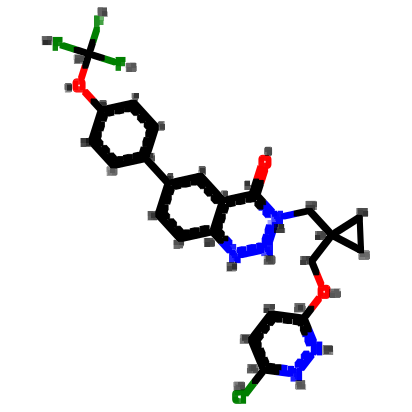 O=c1c2cc(-c3ccc(OC(F)(F)F)cc3)ccc2nnn1CC1(COc2ccc(Cl)nn2)CC1